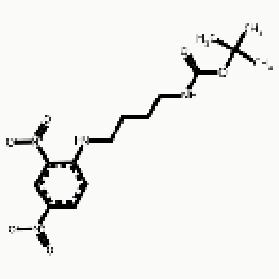 CC(C)(C)OC(=O)NCCCCNc1ccc([N+](=O)[O-])cc1[N+](=O)[O-]